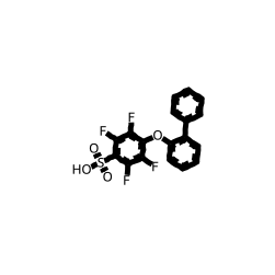 O=S(=O)(O)c1c(F)c(F)c(Oc2ccccc2-c2ccccc2)c(F)c1F